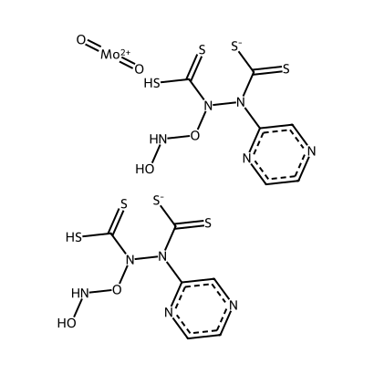 ONON(C(=S)S)N(C(=S)[S-])c1cnccn1.ONON(C(=S)S)N(C(=S)[S-])c1cnccn1.[O]=[Mo+2]=[O]